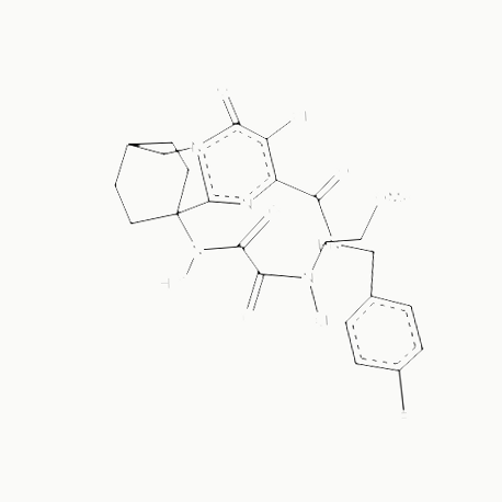 COCCN(C)C(=O)C(=O)N(C)C12CCC(CC1)Cn1c2nc(C(=O)NCc2ccc(F)cc2)c(O)c1=O